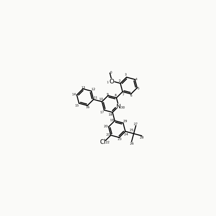 COc1ccccc1-c1cc(-c2ccccc2)cc(-c2cc(Cl)cc(C(C)(C)C)c2)n1